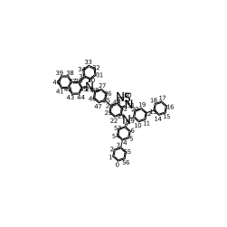 c1ccc(-c2ccc(N(c3ccc(-c4ccccc4)cc3)c3ccc(-c4ccc(-n5c6ccccc6c6c7ccccc7ccc65)cc4)c4nsnc34)cc2)cc1